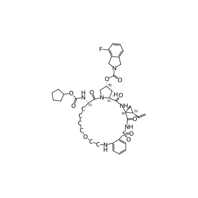 C=C[C@@H]1C[C@@]12NC(=O)[C@@H]1C[C@@H](OC(=O)N3Cc4cccc(F)c4C3)CN1C(=O)[C@@H](NC(=O)OC1CCCC1)CCCCOCCNc1ccccc1S(=O)(=O)NC2=O